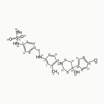 Cc1cc(NCc2ccc(NS(=O)(=O)C(C)(C)C)cc2)ccc1N1CCC(O)(c2ccc(Cl)cc2)CC1